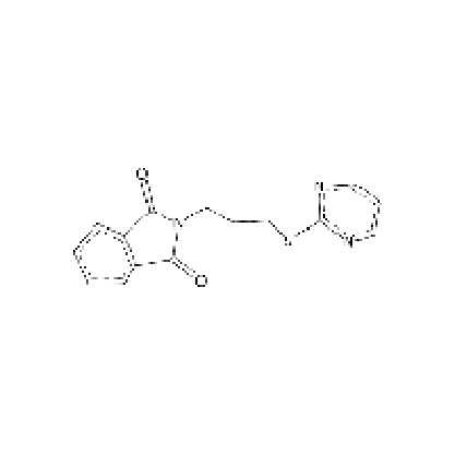 O=C1c2ccccc2C(=O)N1CCCSc1ncccn1